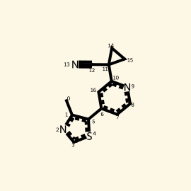 Cc1n[c]sc1-c1ccnc(C2(C#N)CC2)c1